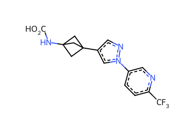 O=C(O)NC12CC(c3cnn(-c4ccc(C(F)(F)F)nc4)c3)(C1)C2